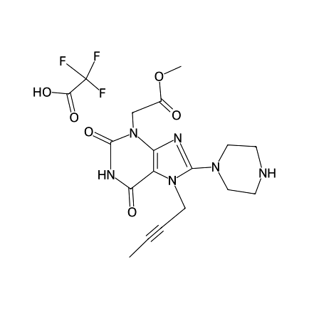 CC#CCn1c(N2CCNCC2)nc2c1c(=O)[nH]c(=O)n2CC(=O)OC.O=C(O)C(F)(F)F